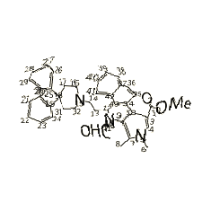 COC(=O)C1=CN(C)C(C)=C(N(C=O)CCCN2CCC(c3ccccc3)(c3ccccc3)CC2)C1c1ccc2ccccc2c1